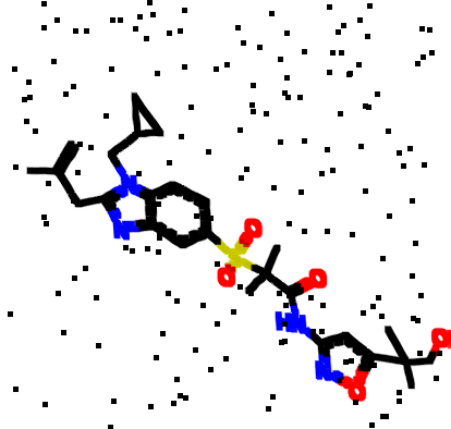 C=C(C)Cc1nc2cc(S(=O)(=O)C(C)(C)C(=O)Nc3cc(C(C)(C)CO)on3)ccc2n1CC1CC1